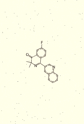 CC1(C)N=C(c2cnc3ccccc3c2)c2ccc(F)cc2C1=O